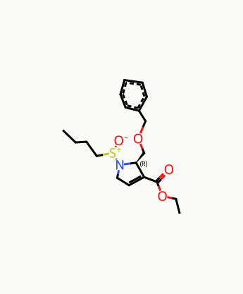 CCCC[S+]([O-])N1CC=C(C(=O)OCC)[C@@H]1COCc1ccccc1